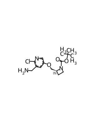 CC(C)(C)OC(=O)N1CC[C@H]1COc1cnc(Cl)c(CN)c1